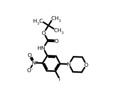 CC(C)(C)OC(=O)Nc1cc(N2CCOCC2)c(I)cc1[N+](=O)[O-]